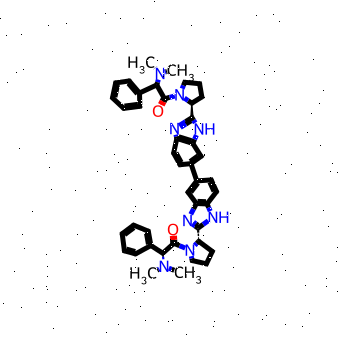 CN(C)C(C(=O)N1CCC[C@H]1c1nc2ccc(-c3ccc4[nH]c([C@@H]5CCCN5C(=O)[C@@H](c5ccccc5)N(C)C)nc4c3)cc2[nH]1)c1ccccc1